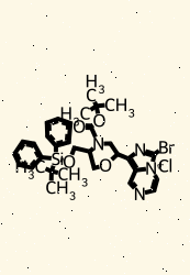 CC(C)(C)OC(=O)N1CC(C2=C3C=NC=C[N+]3(Cl)C(Br)=N2)OCC1CO[Si](c1ccccc1)(c1ccccc1)C(C)(C)C